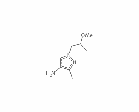 COC(C)Cn1cc(N)c(C)n1